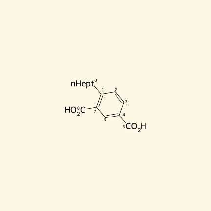 CCCCCCCc1ccc(C(=O)O)cc1C(=O)O